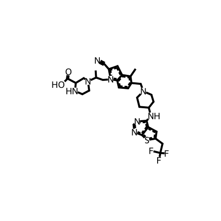 Cc1c(CN2CCC(Nc3ncnc4sc(CC(F)(F)F)cc34)CC2)ccc2c1cc(C#N)n2CC(C)N1CCNC(C(=O)O)C1